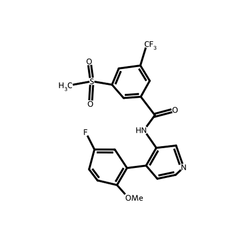 COc1ccc(F)cc1-c1ccncc1NC(=O)c1cc(C(F)(F)F)cc(S(C)(=O)=O)c1